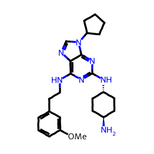 COc1cccc(CCNc2nc(N[C@H]3CC[C@H](N)CC3)nc3c2ncn3C2CCCC2)c1